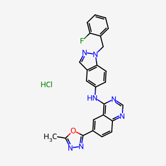 Cc1nnc(-c2ccc3ncnc(Nc4ccc5c(cnn5Cc5ccccc5F)c4)c3c2)o1.Cl